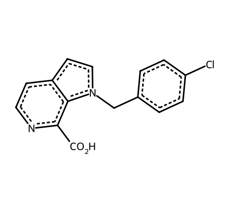 O=C(O)c1nccc2ccn(Cc3ccc(Cl)cc3)c12